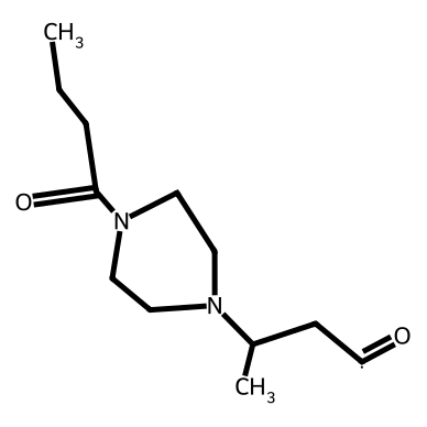 CCCC(=O)N1CCN(C(C)C[C]=O)CC1